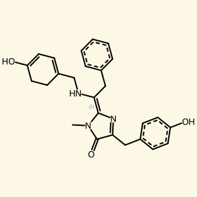 CN1C(=O)C(Cc2ccc(O)cc2)=N/C1=C(\Cc1ccccc1)NCC1=CC=C(O)CC1